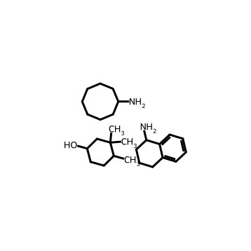 CC1CCC(O)CC1(C)C.NC1CCCCCCC1.NC1CCCc2ccccc21